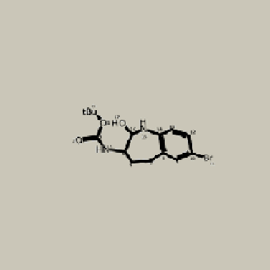 CC(C)(C)OC(=O)NC1CCc2cc(Br)ccc2NC1O